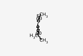 CCCCCC[C@@H](C)OC(=O)c1ccc(-c2ccc(CC[C@H]3CC[C@H](OC(=O)[C@@H](F)CCC)CC3)cc2)cc1